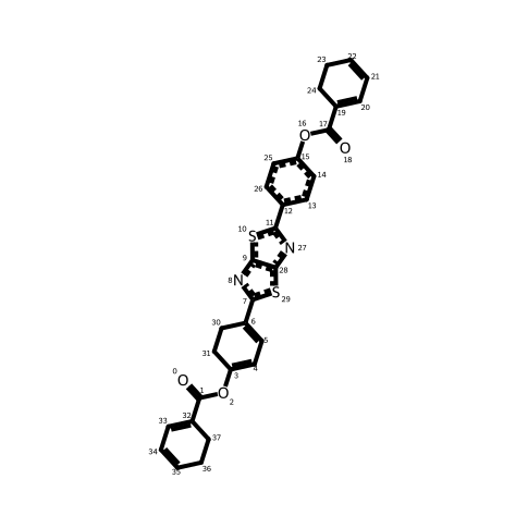 O=C(OC1=CC=C(c2nc3sc(-c4ccc(OC(=O)C5=CC=CCC5)cc4)nc3s2)CC1)C1=CC=CCC1